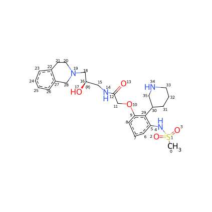 CS(=O)(=O)Nc1cccc(OCC(=O)NC[C@@H](O)CN2CCc3ccccc3C2)c1C1CCCNC1